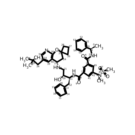 C[C@@H](NC(=O)c1cc(C(=O)N[C@@H](Cc2ccccc2)[C@@H](O)CN[C@H]2CC3(CCC3)Oc3ncc(CC(C)(C)C)cc32)cc(N(C)S(C)(=O)=O)c1)c1ccccc1